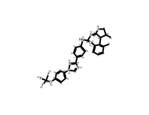 Cc1cccc(C)c1C1/C(=N\C(=O)Nc2ccc(-c3ncn(-c4ccc(OC(F)(F)F)cc4)n3)cc2)SCC1C